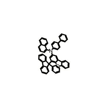 c1ccc(-c2ccc(N(c3cc(C4(c5ccccc5)c5ccccc5-c5ccccc54)c4oc5ccccc5c4c3)c3cccc4ccccc34)cc2)cc1